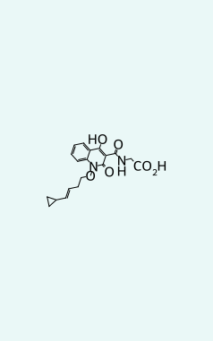 O=C(O)CNC(=O)c1c(O)c2ccccc2n(OCCC=CC2CC2)c1=O